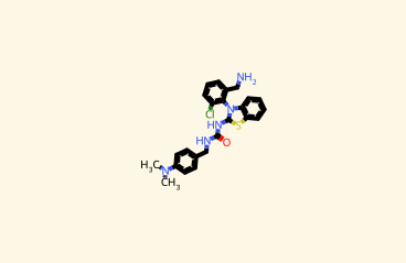 CN(C)c1ccc(CNC(=O)NC2Sc3ccccc3N2c2c(Cl)cccc2CN)cc1